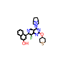 Oc1cc(-c2ncc3c(N4CC5CCC(C4)N5)nc(OC4CCSCC4)nc3c2F)c2ccccc2c1